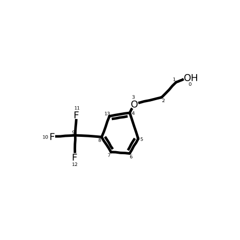 OCCOc1cccc(C(F)(F)F)c1